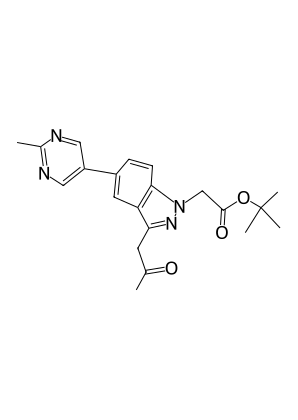 CC(=O)Cc1nn(CC(=O)OC(C)(C)C)c2ccc(-c3cnc(C)nc3)cc12